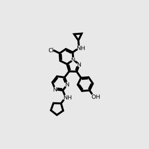 Oc1ccc(-c2nn3c(NC4CC4)cc(Cl)cc3c2-c2ccnc(NC3CCCC3)n2)cc1